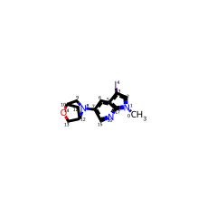 Cn1cc(I)c2cc(N3CC4CC3CO4)cnc21